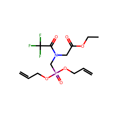 C=CCOP(=O)(CN(CC(=O)OCC)C(=O)C(F)(F)F)OCC=C